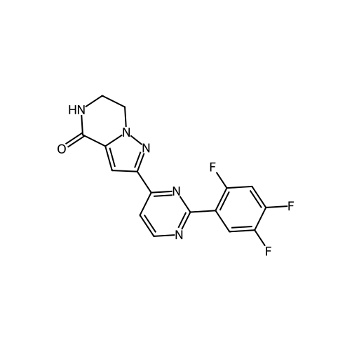 O=C1NCCn2nc(-c3ccnc(-c4cc(F)c(F)cc4F)n3)cc21